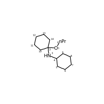 CCCOC1(NC2CCCCC2)CCCCC1